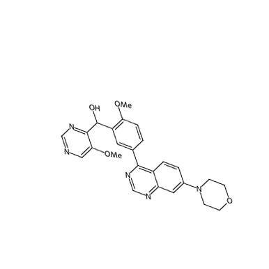 COc1ccc(-c2ncnc3cc(N4CCOCC4)ccc23)cc1C(O)c1ncncc1OC